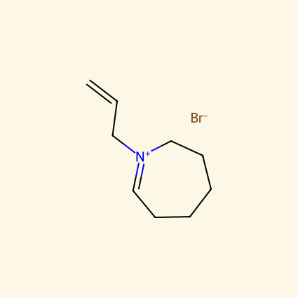 C=CC[N+]1=CCCCCC1.[Br-]